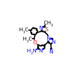 Cc1ccc2c(c1)C(C)Oc1cc(cnc1N)-c1c(C#N)ncn1Cc1sc(C)nc1-2